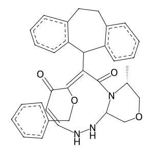 C[C@@H]1COCC2NN/C=C\C(=O)/C(OCc3ccccc3)=C(\C3c4ccccc4CCc4ccccc43)C(=O)N21